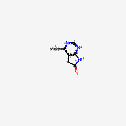 CNc1ncnc2c1CC(=O)N2